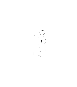 CCCCCN(Cc1nccc2c3ccccc3n(CC(F)(F)F)c12)[C@H]1CCCc2cccnc21